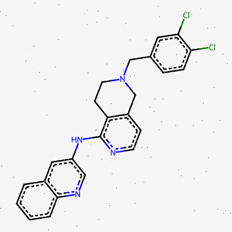 Clc1ccc(CN2CCc3c(ccnc3Nc3cnc4ccccc4c3)C2)cc1Cl